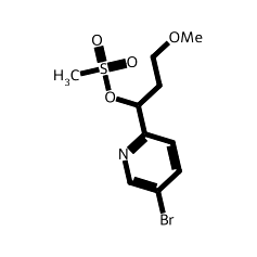 COCCC(OS(C)(=O)=O)c1ccc(Br)cn1